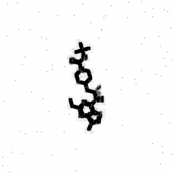 CCc1nc(N[C@@H](C)CC2CCN(C(=O)OC(C)(C)C)CC2)c2scc(C)c2n1